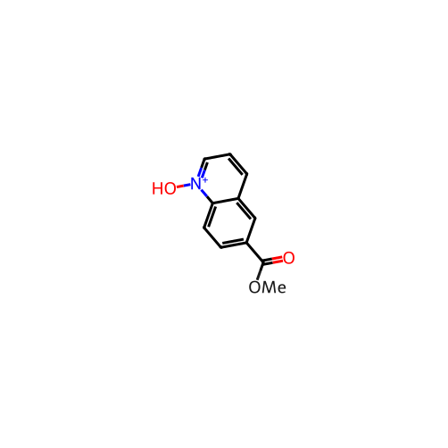 COC(=O)c1ccc2c(ccc[n+]2O)c1